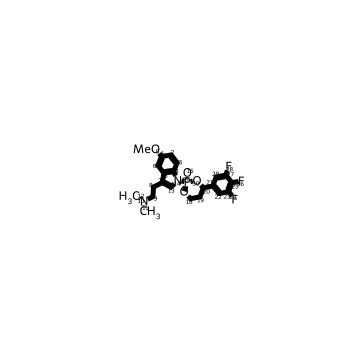 COc1ccc2c(c1)c(CCN(C)C)cn2P1(=O)OCCC(c2cc(F)c(F)c(F)c2)O1